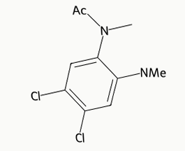 CNc1cc(Cl)c(Cl)cc1N(C)C(C)=O